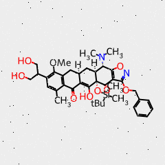 COc1c(C(CO)CO)cc(C)c2c1C[C@H]1C[C@H]3[C@H](N(C)C)c4onc(OCc5ccccc5)c4C(=O)[C@@]3(O[Si](C)(C)C(C)(C)C)C(O)=C1C2=O